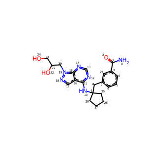 NC(=O)c1cccc(CC2(Nc3ncnc4c3cnn4CC(O)CO)CCCC2)c1